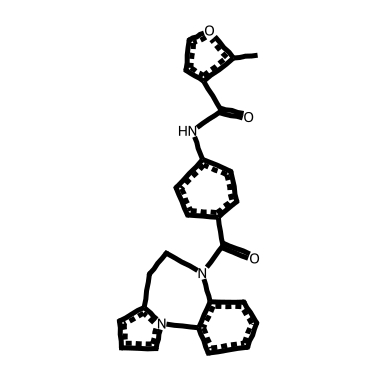 Cc1occc1C(=O)Nc1ccc(C(=O)N2CCc3cccn3-c3ccccc32)cc1